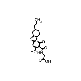 CCCC1CCc2c(sc3nc(O)c(C(=O)NCC(=O)O)c(=O)n23)C1